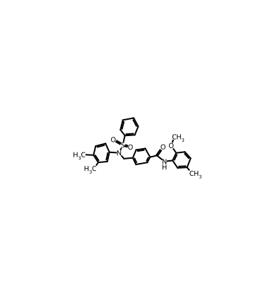 COc1ccc(C)cc1NC(=O)c1ccc(CN(c2ccc(C)c(C)c2)S(=O)(=O)c2ccccc2)cc1